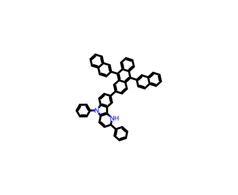 C1=CC(c2ccccc2)Nc2c1n(-c1ccccc1)c1ccc(-c3ccc4c(-c5ccc6ccccc6c5)c5ccccc5c(-c5ccc6ccccc6c5)c4c3)cc21